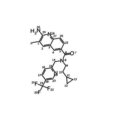 Cc1cc2cc(C(=O)N(CCC3CC3)Cc3ccc(C(F)(F)F)cn3)ccc2nc1N